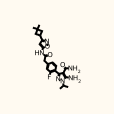 CC(C)n1nc(-c2ccc(CC(=O)Nc3cc(C4CC(C)(C)C4)no3)cc2F)c(C(N)=O)c1N